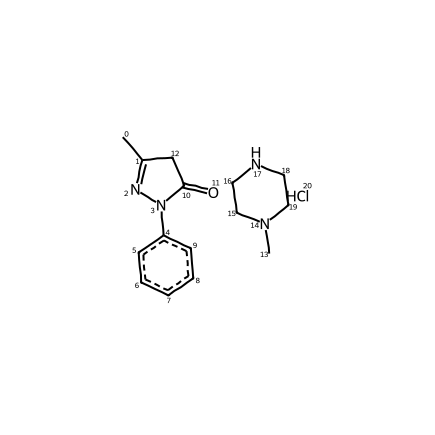 CC1=NN(c2ccccc2)C(=O)C1.CN1CCNCC1.Cl